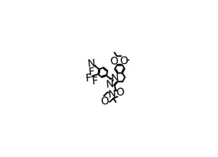 COc1cc2c(cc1OC(C)C)-n1c(-c3ccc(C#N)c(C(F)(F)F)c3)nc(C(=O)N3CCOCC3(C)C)c1CC2